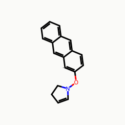 [c]1c(ON2C=CCC2)ccc2cc3ccccc3cc12